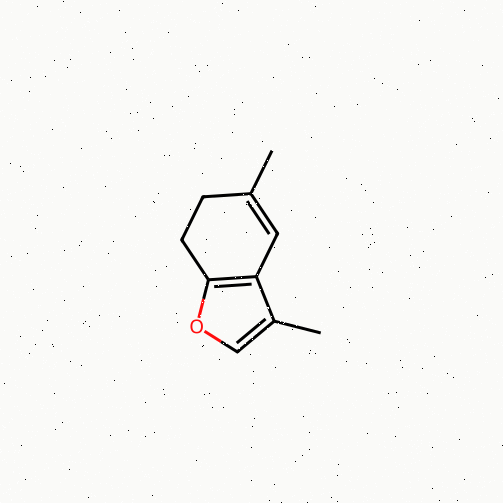 CC1=Cc2c(C)coc2CC1